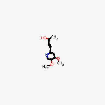 COc1cnc(C#CC(C)O)cc1OC